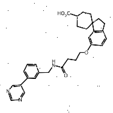 O=C(CCCOc1ccc2c(c1)C1(CC2)CCC(C(=O)O)CC1)NCc1cccc(-c2cncnc2)c1